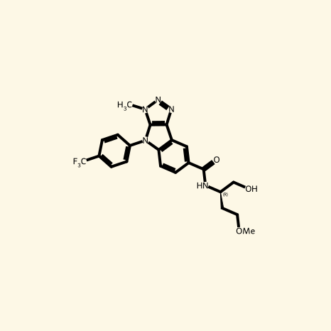 COCC[C@H](CO)NC(=O)c1ccc2c(c1)c1nnn(C)c1n2-c1ccc(C(F)(F)F)cc1